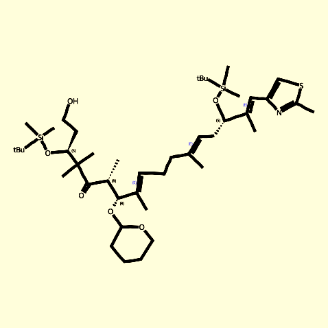 C/C(=C\C[C@H](O[Si](C)(C)C(C)(C)C)/C(C)=C/c1csc(C)n1)CC/C=C(\C)[C@H](OC1CCCCO1)[C@@H](C)C(=O)C(C)(C)[C@H](CCO)O[Si](C)(C)C(C)(C)C